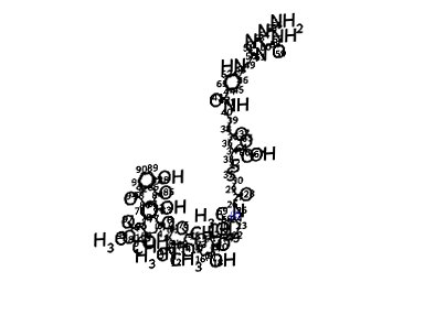 CC[C@@]1(O)C[C@H](O[C@H]2C[C@@H](N(C)C)[C@H](O[C@H]3C[C@@H](O)[C@H](O[C@H]4CC/C(=N/CC(=O)CCSSCC(CC(=O)CCCNC(=O)c5ccc(NCc6cnc7nc(N)[nH]c(=O)c7n6)cc5)C(=O)OO)C(C)O4)C(C)O3)C(C)O2)c2c(cc3c(c2O)C(=O)c2c(O)cccc2C3=O)[C@H]1C(=O)OC